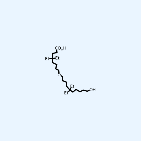 CCC(CC)(CCCCCO)CCCCOCCCCC(CC)(CC)CCC(=O)O